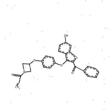 C=CC(=O)N1CC(Oc2ccc(Oc3c(C(=O)c4ccccc4)sc4cc(O)ccc34)cc2)C1